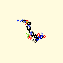 Cn1nc(N2CCC(=O)NC2=O)c2ccc(C3CCN(CC4CCN(c5cccc(S(=O)(=O)N6CCC(N)CC6)c5)CC4)CC3)cc21.O=C(O)C(F)(F)F